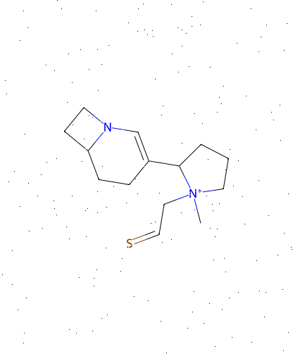 C[N+]1(CC=S)CCCC1C1=CN2CCC2CC1